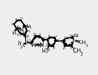 Cc1cc(-c2ccc(-c3ccc(N(C)C4C[C@H]5CCC[C@@H](C4)N5)nn3)c(O)c2)cc(=O)n1C